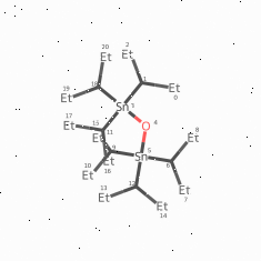 CC[CH](CC)[Sn]([O][Sn]([CH](CC)CC)([CH](CC)CC)[CH](CC)CC)([CH](CC)CC)[CH](CC)CC